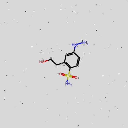 NNc1ccc(S(N)(=O)=O)c(CCO)c1